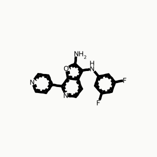 Nc1oc2c(-c3ccncc3)nccc2c1Nc1cc(F)cc(F)c1